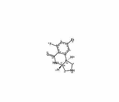 CCc1cc(F)c2c(c1)[C@H]1CNC[C@@H]1NC2=O